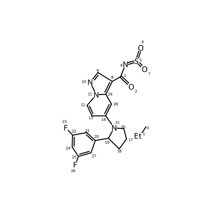 CCC.O=C(N=S(=O)=O)c1cnn2ccc(N3CCCC3c3cc(F)cc(F)c3)cc12